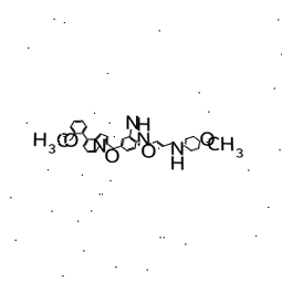 COc1ccccc1-c1cccn2c(C(=O)c3ccc(NC(=O)/C=C/CNC4CCC(OC)CC4)c(C#N)c3)ccc12